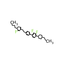 CCCCC1CC=C(CCc2ccc(-c3ccc(C4CCC(CCC)CC4)c(F)c3F)cc2)C=C1F